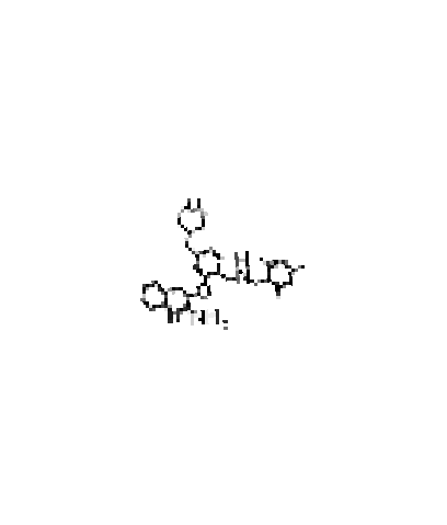 Cc1cc(C)c(CNCc2ccc(CC3CCOCC3)cc2Oc2cc3ccccc3nc2N)c(C)c1